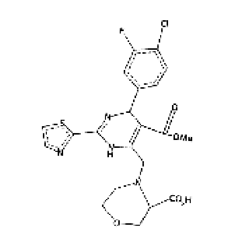 COC(=O)C1=C(CN2CCOCC2C(=O)O)NC(c2nccs2)=NC1c1ccc(Cl)c(F)c1